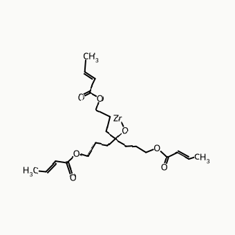 CC=CC(=O)OCCCC(CCCOC(=O)C=CC)(CCCOC(=O)C=CC)[O][Zr]